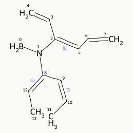 BN(/C(C=C)=C/C=C)C(/C=C\C)=C/C